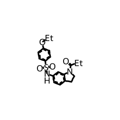 CCOc1ccc(S(=O)(=O)Nc2ccc3c(c2)N(C(=O)CC)CC3)cc1